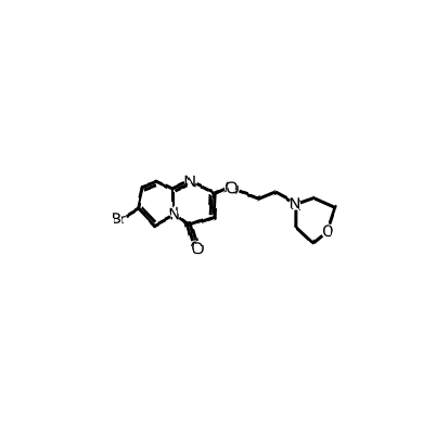 O=c1cc(OCCN2CCOCC2)nc2ccc(Br)cn12